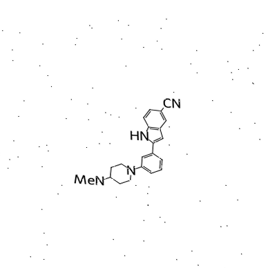 CNC1CCN(c2cccc(-c3cc4cc(C#N)ccc4[nH]3)c2)CC1